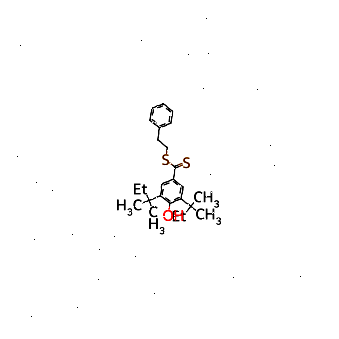 CCC(C)(C)c1cc(C(=S)SCCc2ccccc2)cc(C(C)(C)CC)c1O